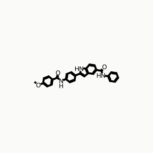 COc1ccc(C(=O)Nc2ccc(-c3cc4cc(C(=O)Nc5ccccc5)ccc4[nH]3)cc2)cc1